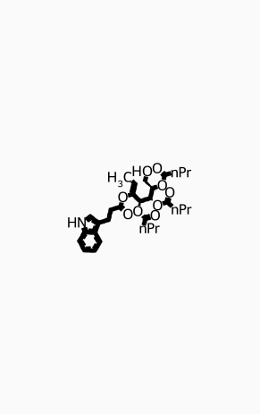 C/C=C(\OC(=O)CCc1c[nH]c2ccccc12)[C@H](OC(=O)CCC)[C@@H](OC(=O)CCC)[C@@H](CO)OC(=O)CCC